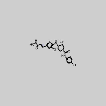 Cl.O=C(/C=C/c1cnc(NC2CCN(C(=O)Nc3ccc(Cl)cc3)CC2)c(Cl)c1)NO